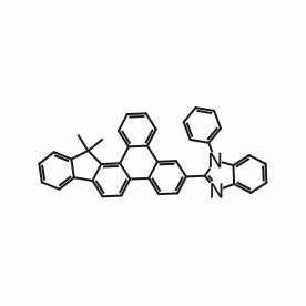 CC1(C)c2ccccc2-c2ccc3c4ccc(-c5nc6ccccc6n5-c5ccccc5)cc4c4ccccc4c3c21